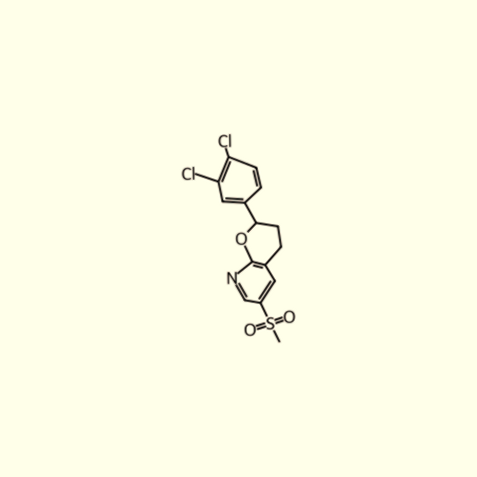 CS(=O)(=O)c1cnc2c(c1)CCC(c1ccc(Cl)c(Cl)c1)O2